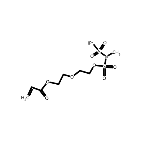 C=CC(=O)OCCOCCOS(=O)(=O)N(C)S(=O)(=O)C(C)C